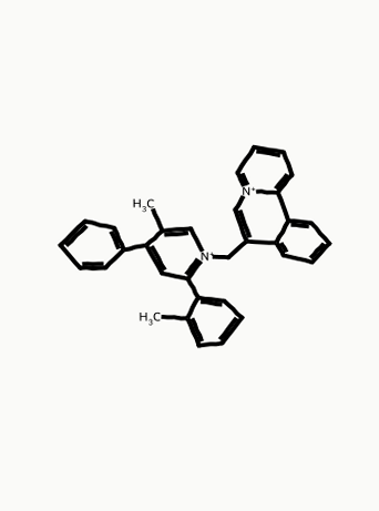 Cc1c[n+](Cc2c[n+]3ccccc3c3ccccc23)c(-c2ccccc2C)cc1-c1ccccc1